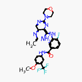 C=C/N=C1/C=NC(N2CCOCC2)=N/C1=C(/N)Nc1cc(C(=O)Nc2ccc(OC)c(C(F)(F)F)c2)ccc1F